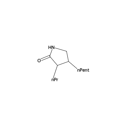 CCCCCC1CNC(=O)C1CCC